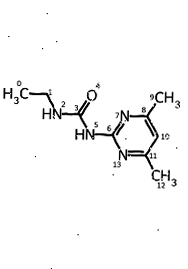 CCNC(=O)Nc1nc(C)cc(C)n1